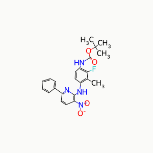 Cc1c(Nc2nc(-c3ccccc3)ccc2[N+](=O)[O-])ccc(NC(=O)OC(C)(C)C)c1F